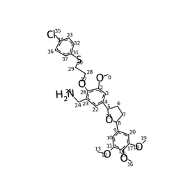 COc1cc(C2CCC(c3cc(OC)c(OC)c(OC)c3)O2)cc(CN)c1OCCSc1ccc(Cl)cc1